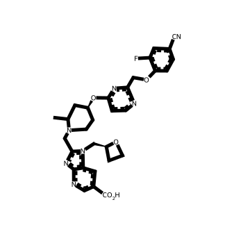 CC1C[C@@H](Oc2ccnc(COc3ccc(C#N)cc3F)n2)CCN1Cc1nc2ncc(C(=O)O)cc2n1C[C@@H]1CCO1